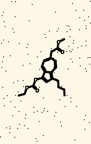 CCCCc1cc(OC(=O)OCC)c2ccc(CC(=O)OC)ccc1-2